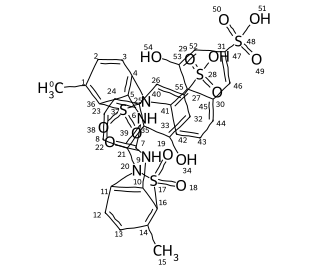 Cc1ccc2c(NC(=O)Nc3c4ccc(C)c3S(=O)(=O)N4c3cccc4cc(S(=O)(=O)O)cc(O)c34)c1S(=O)(=O)N2c1cccc2cc(S(=O)(=O)O)cc(O)c12